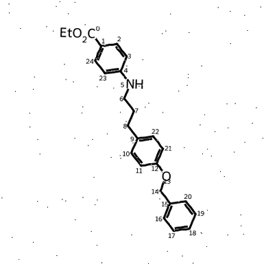 CCOC(=O)c1ccc(NCCCc2ccc(OCc3ccccc3)cc2)cc1